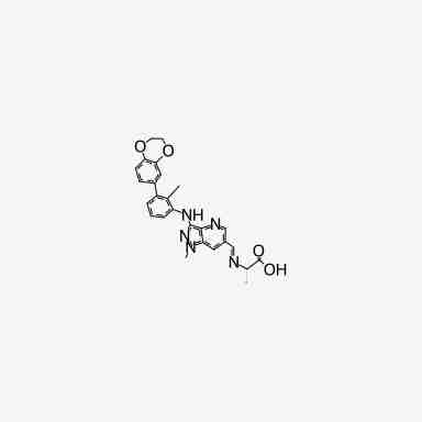 Cc1c(Nc2nn(C)c3cc(C=N[C@@H](C)C(=O)O)cnc23)cccc1-c1ccc2c(c1)OCCO2